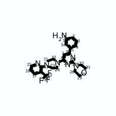 Nc1cccc(-c2cc(N3CCN(c4ncccc4C(F)(F)F)CC3)nc(N3CCOCC3)n2)c1